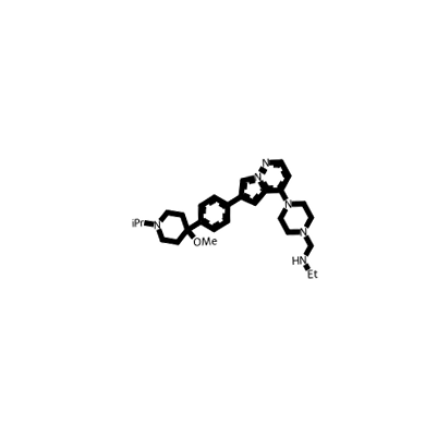 CCNCN1CCN(c2ccnn3cc(-c4ccc(C5(OC)CCN(C(C)C)CC5)cc4)cc23)CC1